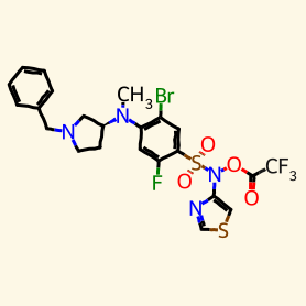 CN(c1cc(F)c(S(=O)(=O)N(OC(=O)C(F)(F)F)c2cscn2)cc1Br)[C@H]1CCN(Cc2ccccc2)C1